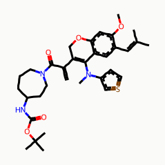 C=C(C(=O)N1CCCC(NC(=O)OC(C)(C)C)CC1)C1=C(N(C)c2ccsc2)c2cc(C=C(C)C)c(OC)cc2OC1